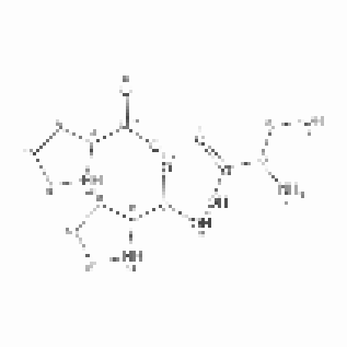 NC(CO)C(=O)O.O=C(O)C1CCCN1.O=C(O)C1CCCN1